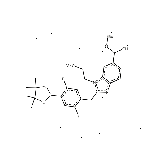 COCCn1c(Cc2cc(F)c(B3OC(C)(C)C(C)(C)O3)cc2F)nc2ccc(C(O)OC(C)(C)C)cc21